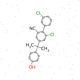 CC(C)(c1ccc(O)cc1)c1cc(Cl)c(-c2cccc(Cl)c2)c(C#N)c1